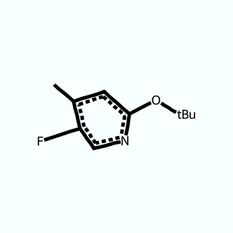 Cc1cc(OC(C)(C)C)ncc1F